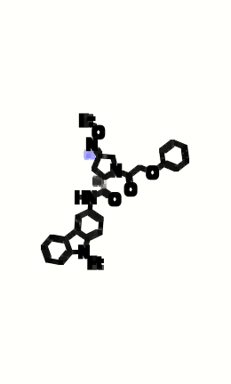 CCO/N=C1/C[C@@H](C(=O)Nc2ccc3c(c2)c2ccccc2n3CC)N(C(=O)COc2ccccc2)C1